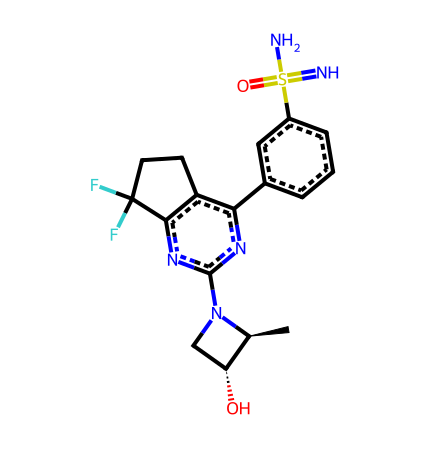 C[C@H]1[C@H](O)CN1c1nc(-c2cccc(S(=N)(N)=O)c2)c2c(n1)C(F)(F)CC2